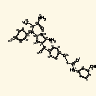 Cc1cccc(NC(=O)COc2ccc(C(=O)c3sc(N(c4ccc(F)cc4)C(C)C(N)=O)nc3N)cc2)c1